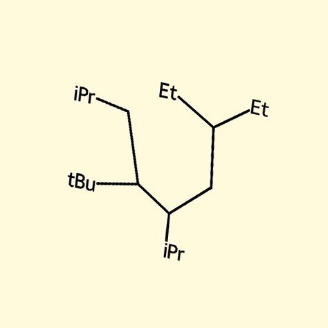 CCC(CC)CC(C(C)C)C(CC(C)C)C(C)(C)C